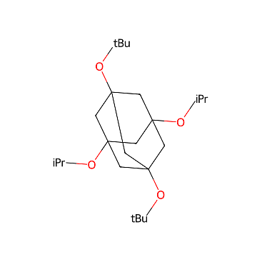 CC(C)OC12CC3(OC(C)C)CC(OC(C)(C)C)(C1)CC(OC(C)(C)C)(C2)C3